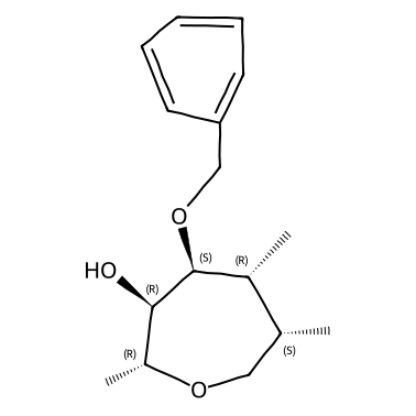 C[C@H]1[C@H](OCc2ccccc2)[C@H](O)[C@@H](C)OC[C@H]1C